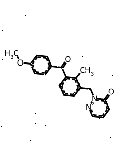 COc1ccc(C(=O)c2cccc(Cn3ncccc3=O)c2C)cc1